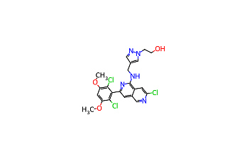 COc1cc(OC)c(Cl)c(-c2cc3cnc(Cl)cc3c(NCc3cnn(CCO)c3)n2)c1Cl